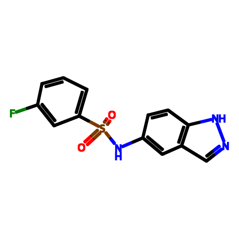 O=S(=O)(Nc1ccc2[nH]ncc2c1)c1cccc(F)c1